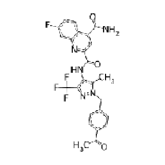 CC(=O)c1ccc(Cn2nc(C(F)(F)F)c(NC(=O)c3cc(C(N)=O)c4ccc(F)cc4n3)c2C)cc1